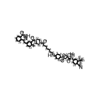 CC(O)(CS(=O)(=O)c1ccc(NCCCCCCC(=O)N2CCN(C(=O)c3cc(Cc4n[nH]c(=O)c5ccccc45)ccc3F)CC2)cc1)C(=O)Nc1ccc(C#N)c(C(F)(F)F)c1